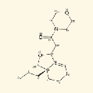 CCC[C@]12CCCC=C1C(CC(=O)N1CCOCC1)OC2